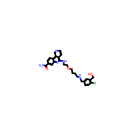 NC(=O)c1ccc2c(c1)nc(NCCOCCCCNCc1ccc(Cl)c(CO)c1)c1ccncc12